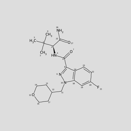 CC(C)(C)[C@H](NC(=O)c1nn(CC2CCOCC2)c2cc(F)ccc12)C(N)=O